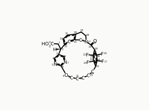 O=C(O)C[C@H]1c2cnc(nc2)OCCCCCc2c(F)c(F)c(c(F)c2F)C(=O)N2CCc3ccc1cc3C2